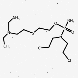 CCN(CC)CCSCCOP(N)(=O)N(CCCl)CCCl